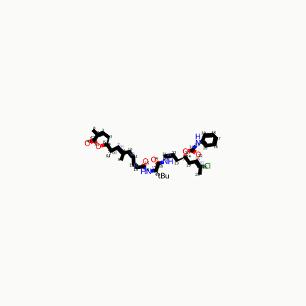 CC1=CC[C@@H]([C@@H](C)/C=C(C)/C=C\C=C/C(=O)N[C@H](C(=O)N/C=C\C[C@H](C/C=C(\C)Cl)OC(=O)Nc2ccccc2)C(C)(C)C)OC1=O